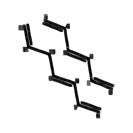 C=CC=CC=C.C=CC=CCC=C